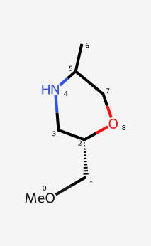 COC[C@@H]1CNC(C)CO1